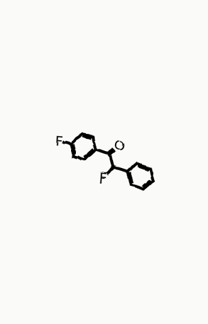 O=C(c1ccc(F)cc1)C(F)c1ccccc1